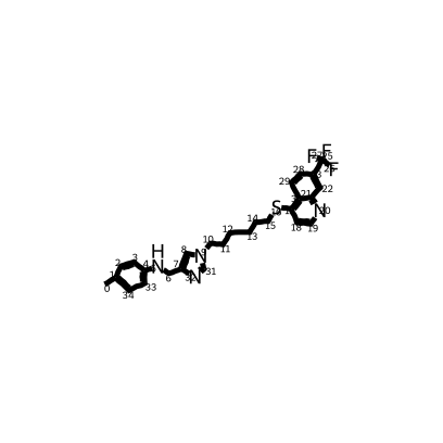 Cc1ccc(NCc2cn(CCCCCCSc3ccnc4cc(C(F)(F)F)ccc34)cn2)cc1